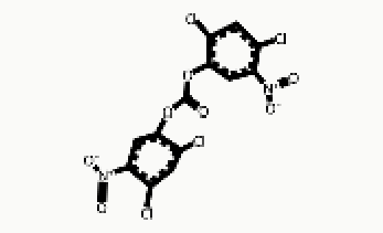 O=C(Oc1cc([N+](=O)[O-])c(Cl)cc1Cl)Oc1cc([N+](=O)[O-])c(Cl)cc1Cl